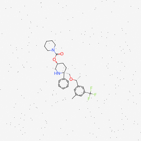 Cc1cc([C@@H](C)OC[C@@]2(c3ccccc3)CC[C@H](OC(=O)N3CCCCC3)CN2)cc(C(F)(F)F)c1